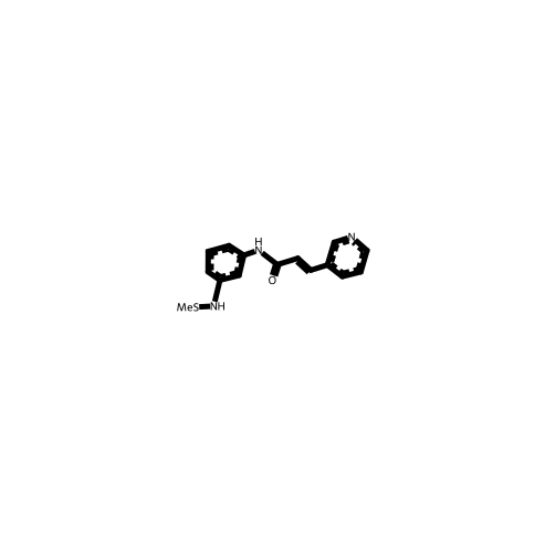 CSNc1cccc(NC(=O)/C=C/c2cccnc2)c1